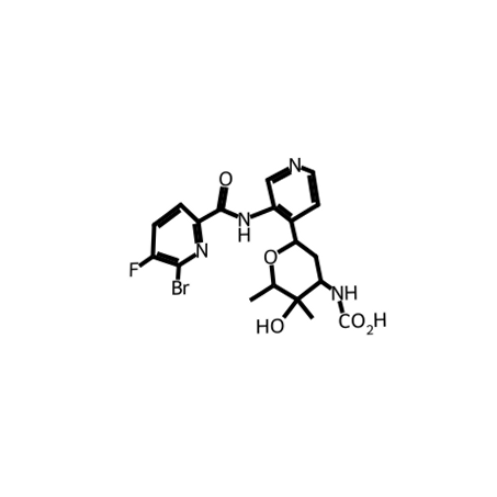 CC1OC(c2ccncc2NC(=O)c2ccc(F)c(Br)n2)CC(NC(=O)O)C1(C)O